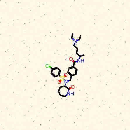 CCN(CC)CCCC(C)NC(=O)c1ccc(CN([C@@H]2CCCCNC2=O)S(=O)(=O)c2ccc(Cl)cc2)cc1